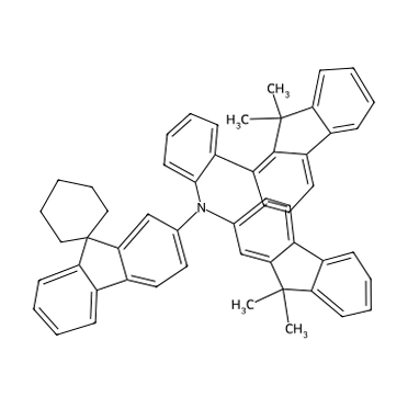 CC1(C)c2ccccc2-c2ccc(N(c3ccc4c(c3)C3(CCCCC3)c3ccccc3-4)c3ccccc3-c3cccc4c3C(C)(C)c3ccccc3-4)cc21